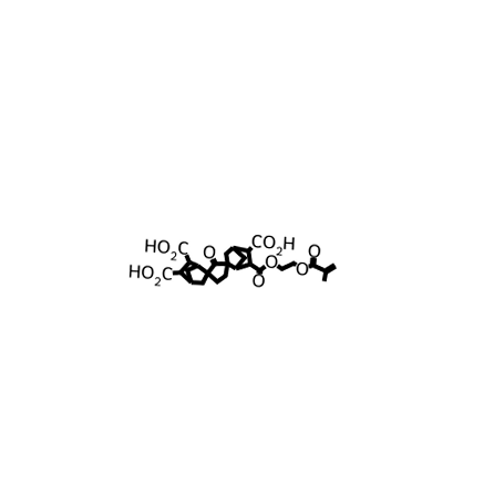 C=C(C)C(=O)OCCOC(=O)C1C(C(=O)O)C2CC1C1(CCC3(CC4CC3C(C(=O)O)C4C(=O)O)C1=O)C2